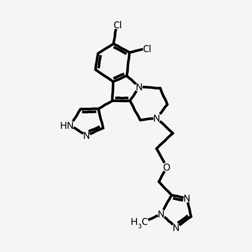 Cn1ncnc1COCCN1CCn2c(c(-c3cn[nH]c3)c3ccc(Cl)c(Cl)c32)C1